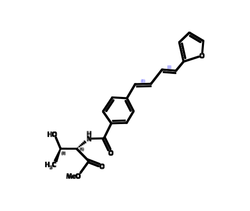 COC(=O)[C@@H](NC(=O)c1ccc(/C=C/C=C/c2ccco2)cc1)[C@@H](C)O